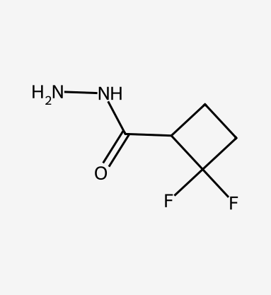 NNC(=O)C1CCC1(F)F